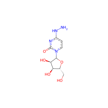 NNc1ccn(C2O[C@H](CO)[C@@H](O)[C@H]2O)c(=O)n1